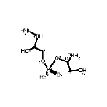 BBC(O)COP(=O)(S)OC(B)CO